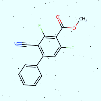 COC(=O)c1c(F)cc(-c2ccccc2)c(C#N)c1F